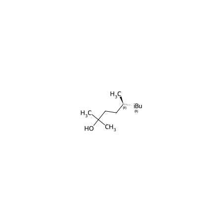 CC[C@@H](C)[C@H](C)CCC(C)(C)O